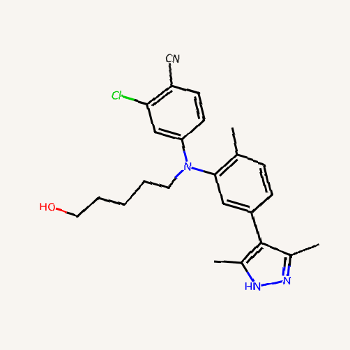 Cc1ccc(-c2c(C)n[nH]c2C)cc1N(CCCCCO)c1ccc(C#N)c(Cl)c1